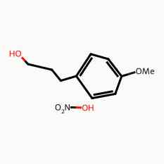 COc1ccc(CCCO)cc1.O=[N+]([O-])O